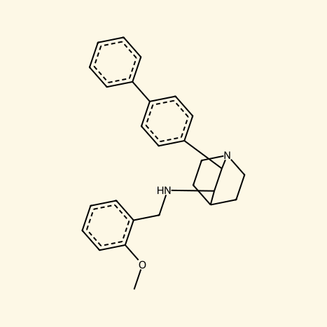 COc1ccccc1CNC1C2CCN(CC2)C1c1ccc(-c2ccccc2)cc1